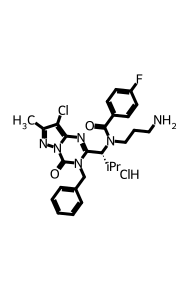 Cc1nn2c(=O)n(Cc3ccccc3)c([C@@H](C(C)C)N(CCCN)C(=O)c3ccc(F)cc3)nc2c1Cl.Cl